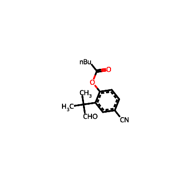 CCCCC(=O)Oc1ccc(C#N)cc1C(C)(C)C=O